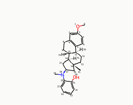 COc1ccc2c(c1)CC[C@@H]1[C@@H]2CC[C@]2(C)C[C@@H](N(C)c3ccccc3O)C[C@@H]12